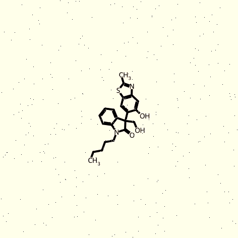 CCCCCN1C(=O)C(CO)(c2cc3sc(C)nc3cc2O)c2ccccc21